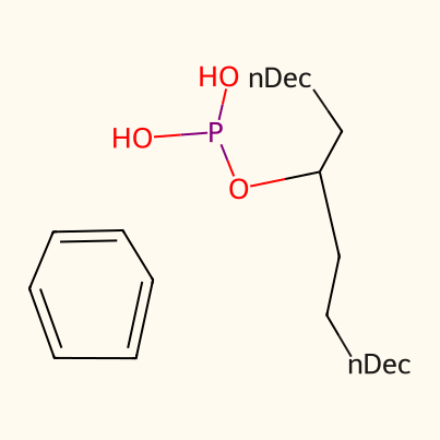 CCCCCCCCCCCCC(CCCCCCCCCCC)OP(O)O.c1ccccc1